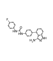 Nc1n[nH]c2cccc(-c3ccc(NC(=O)Nc4ccc(F)cc4)cc3)c12